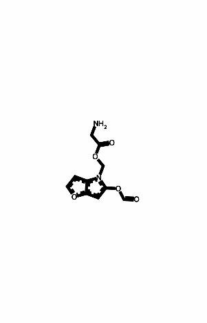 NCC(=O)OCn1c(OC=O)cc2occc21